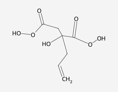 C=CCC(O)(CC(=O)OO)C(=O)OO